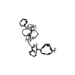 OC1(c2ccccc2)CCC[C@@H]2[C@H]1CCCN2Cc1nc(-c2ccc(F)cc2)n2ccccc12